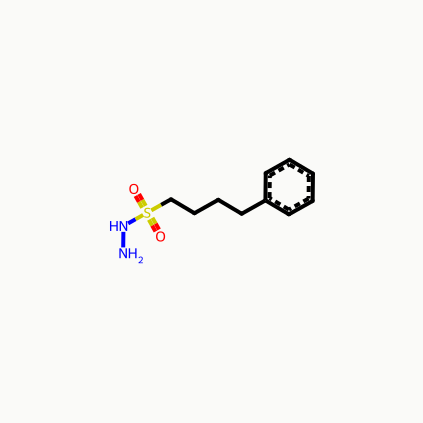 NNS(=O)(=O)CCCCc1ccccc1